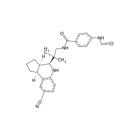 CC(C)(CNC(=O)c1ccc(NC=O)cc1)[C@H]1Nc2ccc(C#N)cc2[C@H]2CCC[C@H]21